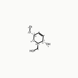 CCO[C@@H]1C=C[C@H](O)[C@@H](CO)O1